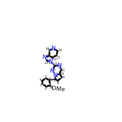 COc1ccccc1-c1ccc2cnc(-n3cnc4cnccc43)nn12